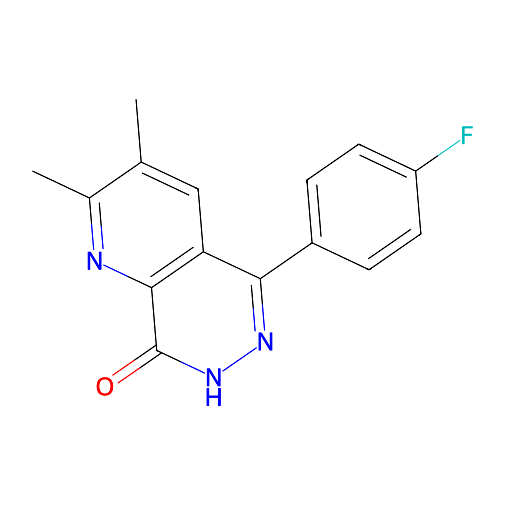 Cc1cc2c(-c3ccc(F)cc3)n[nH]c(=O)c2nc1C